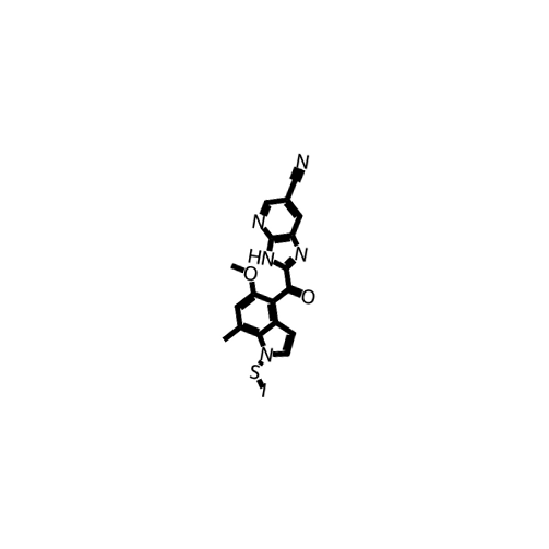 COc1cc(C)c2c(ccn2SI)c1C(=O)c1nc2cc(C#N)cnc2[nH]1